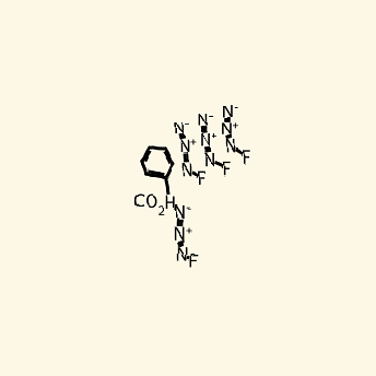 O=C(O)c1ccccc1.[N-]=[N+]=NF.[N-]=[N+]=NF.[N-]=[N+]=NF.[N-]=[N+]=NF